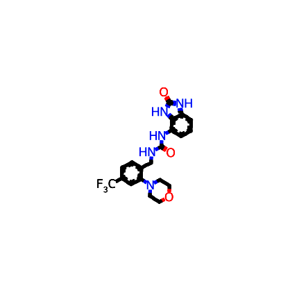 O=C(NCc1ccc(C(F)(F)F)cc1N1CCOCC1)Nc1cccc2[nH]c(=O)[nH]c12